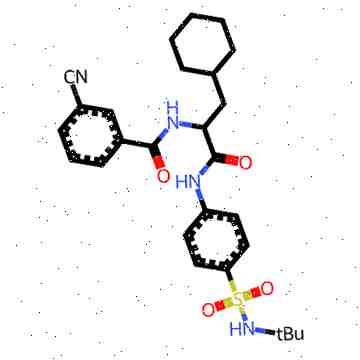 CC(C)(C)NS(=O)(=O)c1ccc(NC(=O)C(CC2CCCCC2)NC(=O)c2cccc(C#N)c2)cc1